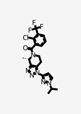 CC(C)n1ccc(-n2nnc3c2CCN(C(=O)c2cccc(C(F)(F)F)c2Cl)[C@H]3C)n1